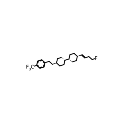 FCCC=C[C@H]1CC[C@H]([C@H]2CC[C@H](CCc3ccc(C(F)(F)F)cc3)CC2)CC1